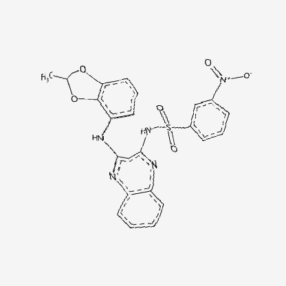 CC1Oc2cccc(Nc3nc4ccccc4nc3NS(=O)(=O)c3cccc([N+](=O)[O-])c3)c2O1